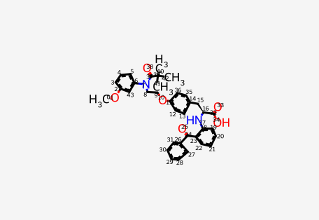 COc1cccc(N(CCOc2ccc(C[C@H](Nc3ccccc3C(=O)c3ccccc3)C(=O)O)cc2)C(=O)C(C)(C)C)c1